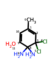 CC1=CC(Cl)(Cl)C(N)(N)C=C1.O